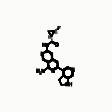 Nc1nc(-c2cncc3c2CCN3)cc2cc(NC(=O)[C@@H]3C[C@@H]3F)ncc12